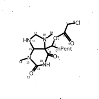 CCCCCC(OC(=O)CCl)C12C(=O)NC(=O)N(C)C1NCN2C